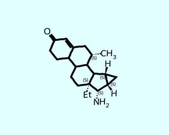 CC[C@]12CCC3C4CCC(=O)C=C4C[C@H](C)C3C1[C@@H]1C[C@@H]1[C@@H]2N